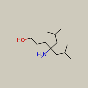 CC(C)CC(N)(CCCO)CC(C)C